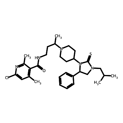 Cc1cc(Cl)nc(C)c1C(=O)NCCC(C)N1CCC(N2C(=S)N(CC(C)C)CC2c2ccccc2)CC1